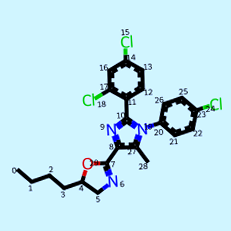 CCCCC1CN=C(c2nc(-c3ccc(Cl)cc3Cl)n(-c3ccc(Cl)cc3)c2C)O1